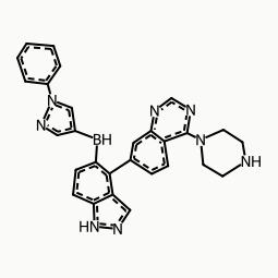 B(c1cnn(-c2ccccc2)c1)c1ccc2[nH]ncc2c1-c1ccc2c(N3CCNCC3)ncnc2c1